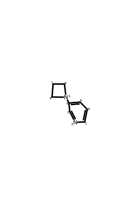 c1cncc(N2CCC2)c1